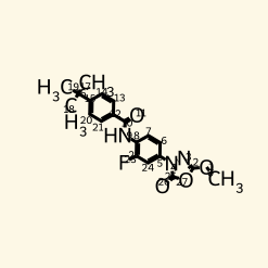 COc1nn(-c2ccc(NC(=O)c3ccc(C(C)(C)C)cc3)c(F)c2)c(=O)o1